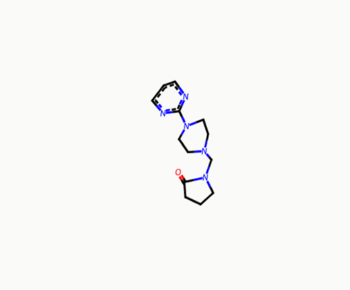 O=C1CCCN1CN1CCN(c2ncccn2)CC1